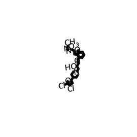 Cc1nnc(-c2cc3c(OC[C@@H](O)CN4CCC(c5cc(Cl)c(Cl)o5)CC4)cccc3o2)o1